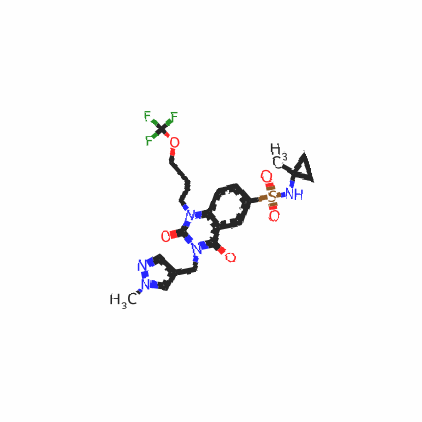 Cn1cc(Cn2c(=O)c3cc(S(=O)(=O)NC4(C)CC4)ccc3n(CCCOC(F)(F)F)c2=O)cn1